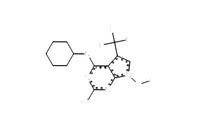 FSn1cc(C(F)(F)F)c2c(NC3CCCCC3)nc(Cl)nc21